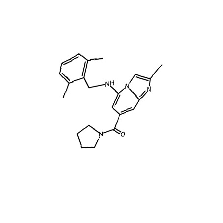 Cc1cn2c(NCc3c(C)cccc3C)cc(C(=O)N3CCCC3)cc2n1